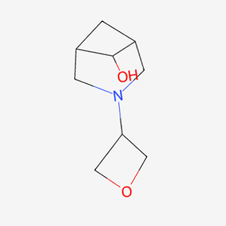 OC1C2CC1CN(C1COC1)C2